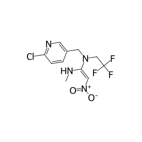 CNC(=C[N+](=O)[O-])N(Cc1ccc(Cl)nc1)CC(F)(F)F